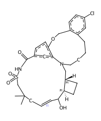 CC1(C)C/C=C/C(O)[C@@H]2CC[C@H]2CN2CCCCc3cc(Cl)ccc3COc3ccc(cc32)C(=O)NS(=O)(=O)C1